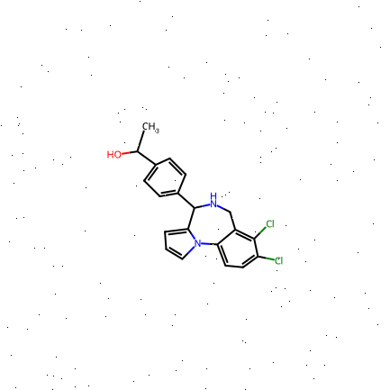 CC(O)c1ccc(C2NCc3c(ccc(Cl)c3Cl)-n3cccc32)cc1